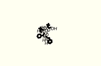 CC(C)(C)[C@H](NC(=O)[C@@H]1[C@@H]2[C@H](CN1C(=O)[C@@H](NC(=O)c1cc3ccccc3[nH]1)C1CCCCC1)C2(C)C)C(=O)CO